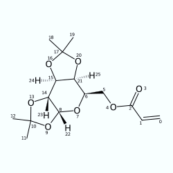 C=CC(=O)OC[C@H]1O[C@@H]2OC(C)(C)O[C@@H]2[C@H]2OC(C)(C)O[C@H]21